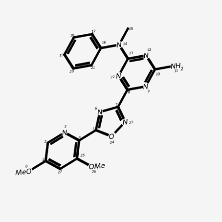 COc1cnc(-c2nc(-c3nc(N)nc(N(C)c4ccccc4)n3)no2)c(OC)c1